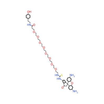 Nc1ccc2c(c1)Oc1cc(N)ccc1C21CC(=O)c2cc(NC(=S)NCCOCCOCCOCCOCCOCCOCCOCCOCCC(=O)NCCc3ccc(O)cc3)ccc21